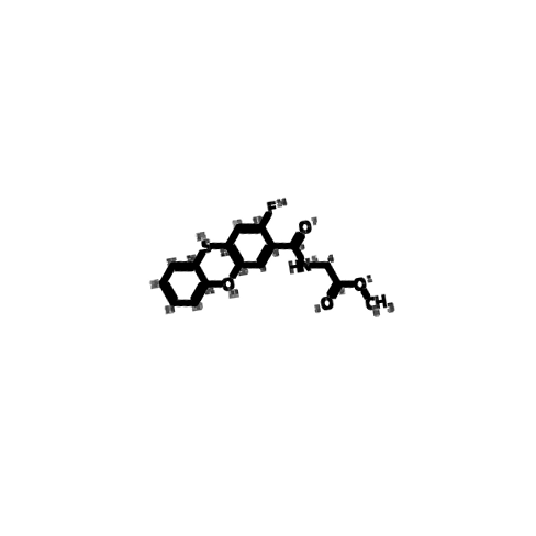 COC(=O)CNC(=O)c1cc2c(cc1F)Sc1ccccc1O2